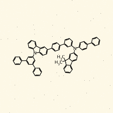 CC1(C)c2ccccc2-c2ccc(N(c3ccc(-c4ccccc4)cc3)c3cccc(-c4ccc(-c5ccc6c(c5)c5ccccc5n6-c5cc(-c6ccccc6)cc(-c6ccccc6)c5)cc4)c3)cc21